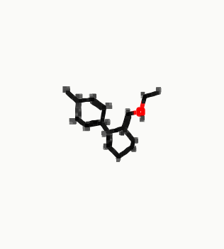 CCO/C=C1\CCCC=C1c1ccc(C)cc1